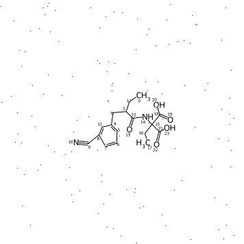 CCC(Cc1cccc(C#N)c1)C(=O)NC(CC)(C(=O)O)C(=O)O